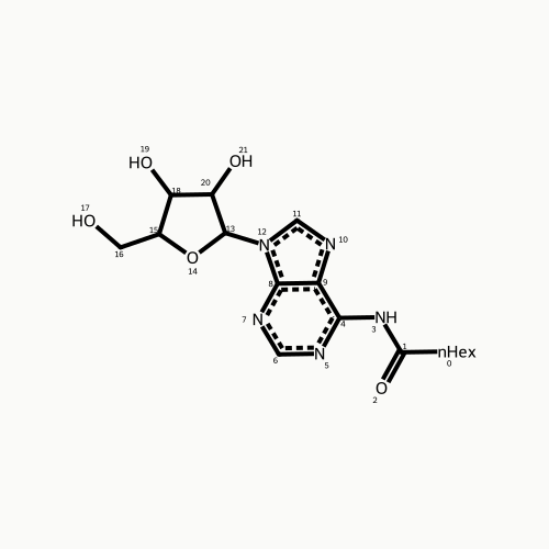 CCCCCCC(=O)Nc1ncnc2c1ncn2C1OC(CO)C(O)C1O